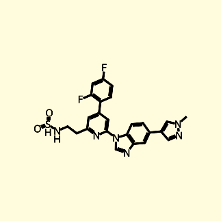 Cn1cc(-c2ccc3c(c2)ncn3-c2cc(-c3ccc(F)cc3F)cc(CCN[SH](=O)=O)n2)cn1